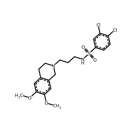 COc1cc2c(cc1OC)CN(CCCNS(=O)(=O)c1ccc(Cl)c(Cl)c1)CC2